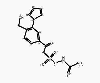 N=C(N)NOS(=O)(=O)CC(=O)c1ccc(CO)c(-n2cccc2)c1